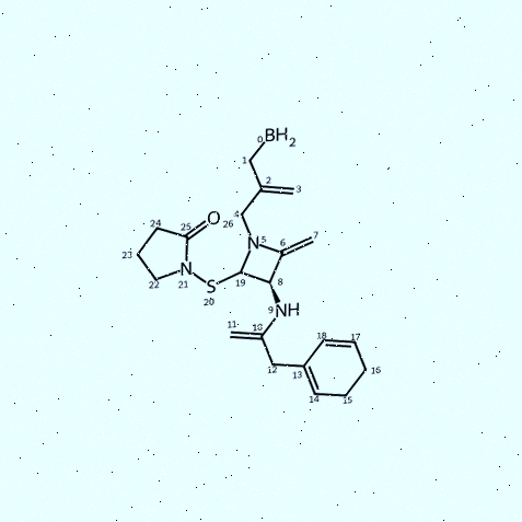 BCC(=C)CN1C(=C)[C@@H](NC(=C)CC2=CCCC=C2)C1SN1CCCC1=O